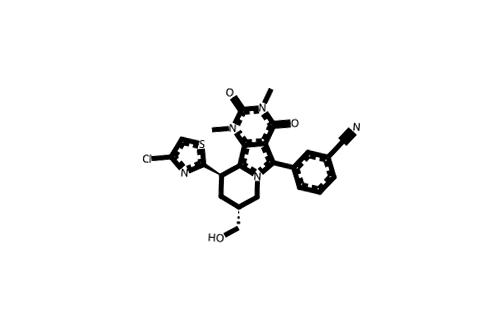 Cn1c(=O)c2c(-c3cccc(C#N)c3)n3c(c2n(C)c1=O)[C@H](c1nc(Cl)cs1)C[C@@H](CO)C3